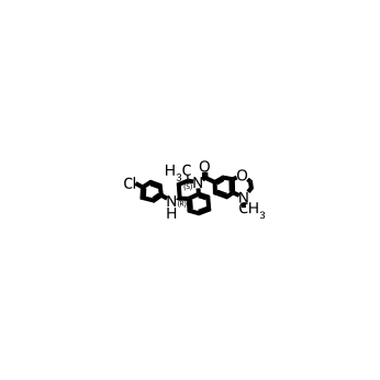 C[C@H]1C[C@@H](Nc2ccc(Cl)cc2)c2ccccc2N1C(=O)c1ccc2c(c1)OCCN2C